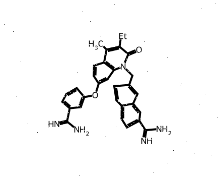 CCc1c(C)c2ccc(Oc3cccc(C(=N)N)c3)cc2n(Cc2ccc3ccc(C(=N)N)cc3c2)c1=O